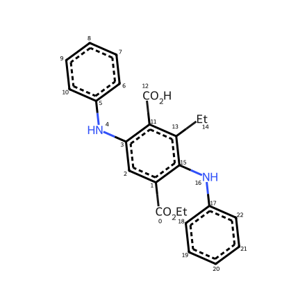 CCOC(=O)c1cc(Nc2ccccc2)c(C(=O)O)c(CC)c1Nc1ccccc1